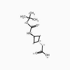 CC(C)(C)OC(=O)N[C@H]1C[C@H](CC(=O)O)C1